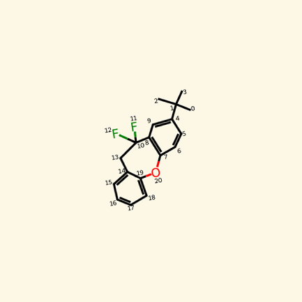 CC(C)(C)c1ccc2c(c1)C(F)(F)Cc1ccccc1O2